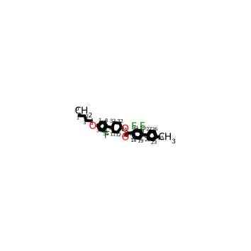 C=CCCCOc1ccc(C2CCC(OC(=O)c3ccc(-c4ccc(C)cc4)c(F)c3F)CC2)c(F)c1